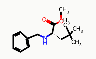 COC(=O)[C@H](CC(C)(C)C)NCc1ccccc1